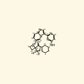 O=C(N1CCC[C@@H](Nc2ccnc(-c3cnc4ccc(F)cn34)n2)C1)C1(C(F)(F)F)CCC1